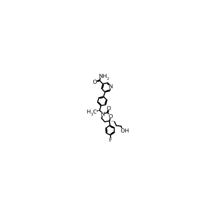 C[C@@H](c1ccc(-c2cncc(C(N)=O)c2)cc1)N1CC[C@](CCCO)(c2ccc(F)cc2)OC1=O